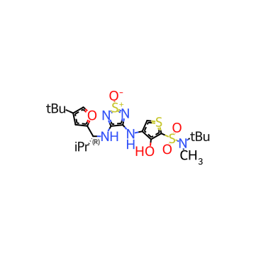 CC(C)[C@@H](Nc1n[s+]([O-])nc1Nc1csc(S(=O)(=O)N(C)C(C)(C)C)c1O)c1cc(C(C)(C)C)co1